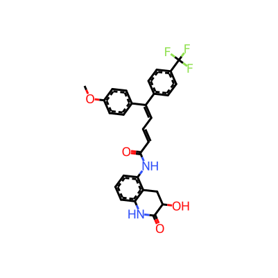 COc1ccc(C(=CC=CC(=O)Nc2cccc3c2CC(O)C(=O)N3)c2ccc(C(F)(F)F)cc2)cc1